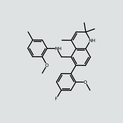 COc1ccc(C)cc1NCc1c(-c2ccc(F)cc2OC)ccc2c1C(C)=CC(C)(C)N2